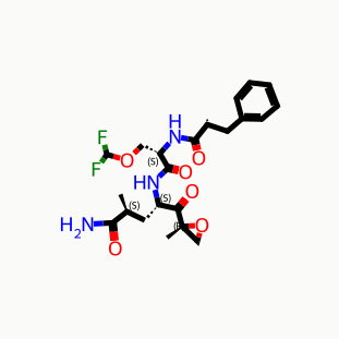 C[C@@H](C[C@H](NC(=O)[C@H](COC(F)F)NC(=O)[CH]Cc1ccccc1)C(=O)[C@@]1(C)CO1)C(N)=O